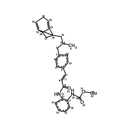 CN(Cc1ccc(/C=C/C(=O)Nc2ccccc2NC(=O)OC(C)(C)C)cc1)CC12CC3C1=CCC=C32